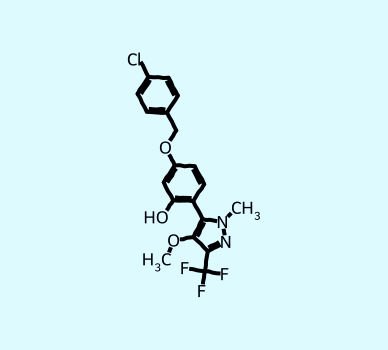 COc1c(C(F)(F)F)nn(C)c1-c1ccc(OCc2ccc(Cl)cc2)cc1O